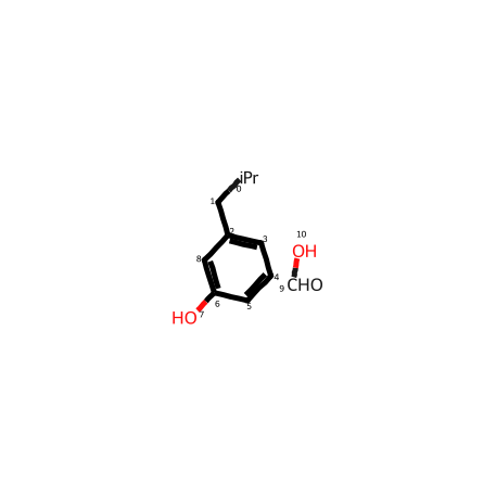 CC(C)Cc1cccc(O)c1.O=CO